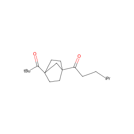 CC(C)CCC(=O)C12CCC(C(=O)C(C)(C)C)(CC1)C2